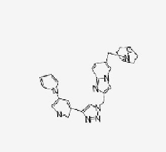 c1ccn(-c2cncc(-c3cn(Cc4cn5cc(CN6CC7CCC6CC7)ccc5n4)nn3)c2)c1